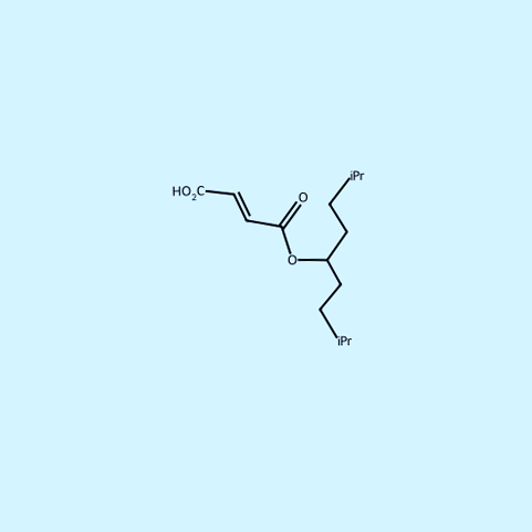 CC(C)CCC(CCC(C)C)OC(=O)C=CC(=O)O